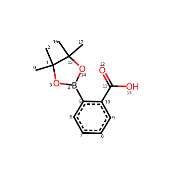 CC1(C)OB(c2ccccc2C(=O)O)OC1(C)C